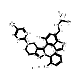 CCc1cccc(CC)c1-n1nc2c(c1-c1c(F)cc(CN[C@H](C(=O)O)C(C)C)c3[nH]ccc13)CN(c1ncc(C(F)(F)F)cn1)CC2.Cl